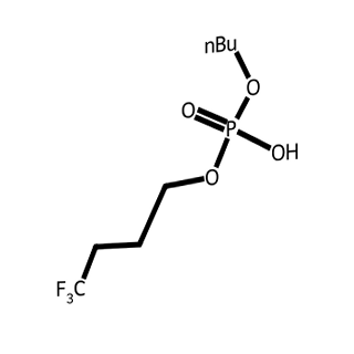 CCCCOP(=O)(O)OCCCC(F)(F)F